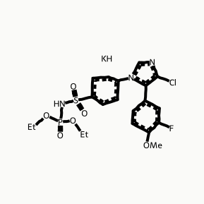 CCOP(=O)(NS(=O)(=O)c1ccc(-n2cnc(Cl)c2-c2ccc(OC)c(F)c2)cc1)OCC.[KH]